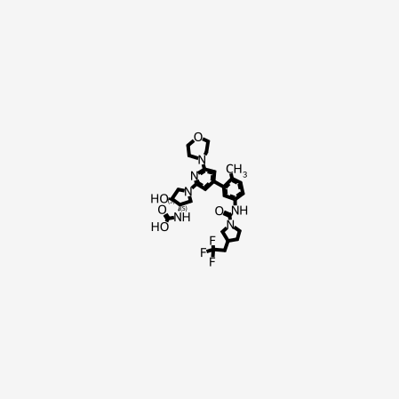 Cc1ccc(NC(=O)N2CCC(CC(F)(F)F)C2)cc1-c1cc(N2CCOCC2)nc(N2C[C@H](NC(=O)O)[C@@H](O)C2)c1